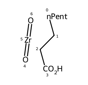 CCCCCCCC(=O)O.[O]=[Zr]=[O]